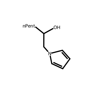 CCCCCC(O)Cn1cccc1